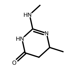 CNC1=NC(C)CC(=O)N1